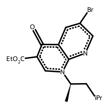 CCOC(=O)c1cn([C@H](C)CC(C)C)c2ncc(Br)cc2c1=O